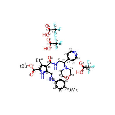 CCc1c(C(=O)OC(C)(C)C)[nH]c(CNc2ccc(OC)cc2)c1C(=O)NCC(c1ccncc1)N1CCOCC1.O=C(O)C(F)(F)F.O=C(O)C(F)(F)F.O=C(O)C(F)(F)F